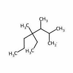 [CH2]C(C)C(C)C(C)(CC)CCC